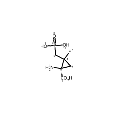 N[C@]1(C(=O)O)CC1(F)CP(=O)(O)O